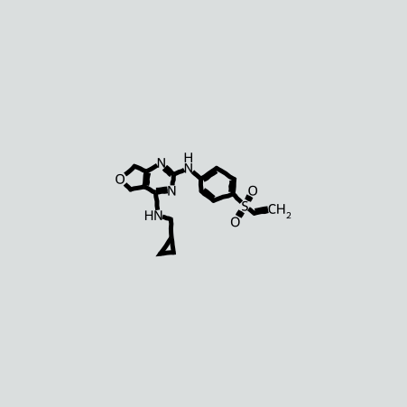 C=CS(=O)(=O)c1ccc(Nc2nc3c(c(NCC4CC4)n2)COC3)cc1